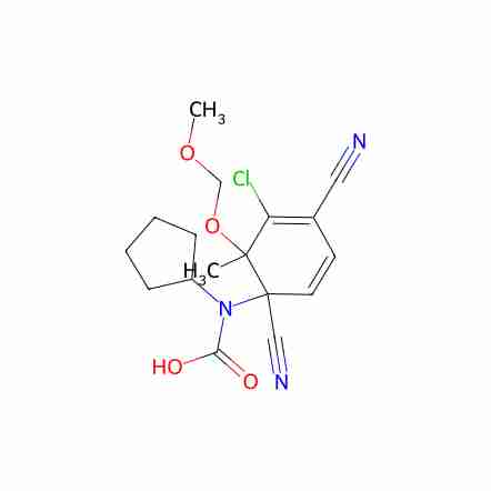 COCOC1(C)C(Cl)=C(C#N)C=CC1(C#N)N(C(=O)O)C1CCCC1